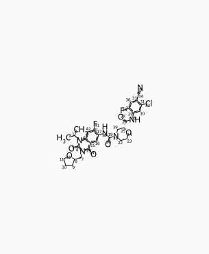 CC(C)n1c(=O)n(C[C@H]2CCCO2)c(=O)c2cc(NC(=O)N3CCO[C@@H](C(=O)Nc4cc(Cl)c(C#N)cc4F)C3)c(F)cc21